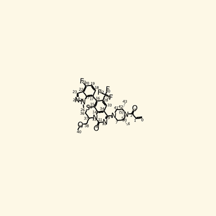 C=CC(=O)N1[C@H](C)CN(c2nc(=O)n3c4c(c(-c5ccc(F)c6cnn(C)c56)c(C(F)(F)F)cc24)SCC3COC)C[C@@H]1C